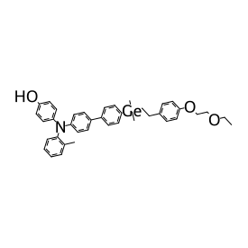 CCOCCOc1ccc(C[CH2][Ge]([CH3])([CH3])[c]2ccc(-c3ccc(N(c4ccc(O)cc4)c4ccccc4C)cc3)cc2)cc1